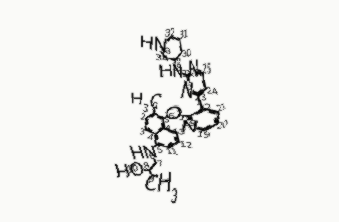 Cc1ccc2c(NCC(C)O)cccc2c1Oc1ncccc1-c1ccnc(N[C@H]2CCCNC2)n1